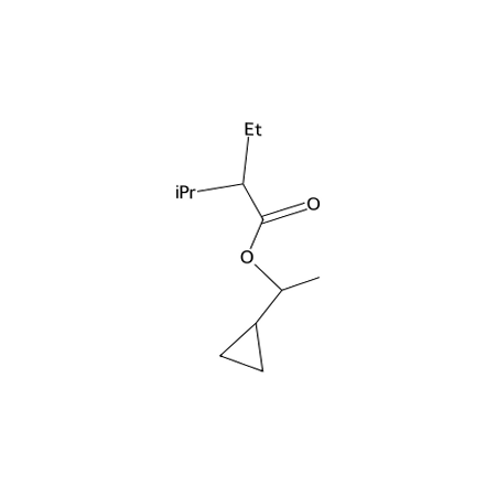 CCC(C(=O)OC(C)C1CC1)C(C)C